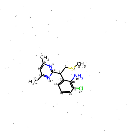 CSCC(c1nc(C)cc(C)n1)c1cccc(Cl)c1N